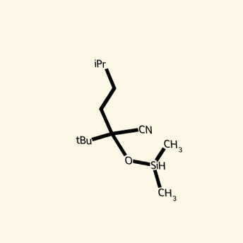 CC(C)CCC(C#N)(O[SiH](C)C)C(C)(C)C